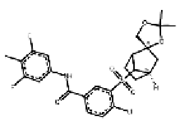 CC1(C)OC[C@]2(C[C@H]3CCC2C3S(=O)(=O)c2cc(C(=O)Nc3cc(F)c(F)c(F)c3)ccc2Cl)O1